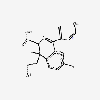 C=C(/C=C\C(C)(C)C)C1=NC(C(=C)OC)C(C)(CCO)c2ccc(C)cc21